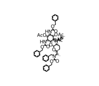 CC(=O)O[C@@H]1[C@@H](NC(=O)OCc2ccccc2)[C@H](OC(C)=O)[C@@H](OC(C)=O)[C@H](OC2O[C@H]([C@H](C)N(Cc3ccccc3)C(=O)OCc3ccccc3)CC[C@H]2N=[N+]=[N-])[C@H]1NC(=O)OCc1ccccc1